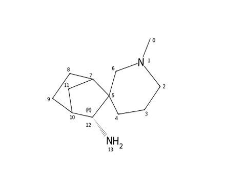 CN1CCCC2(C1)C1CCC(C1)[C@H]2N